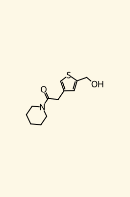 O=C(Cc1csc(CO)c1)N1CCCCC1